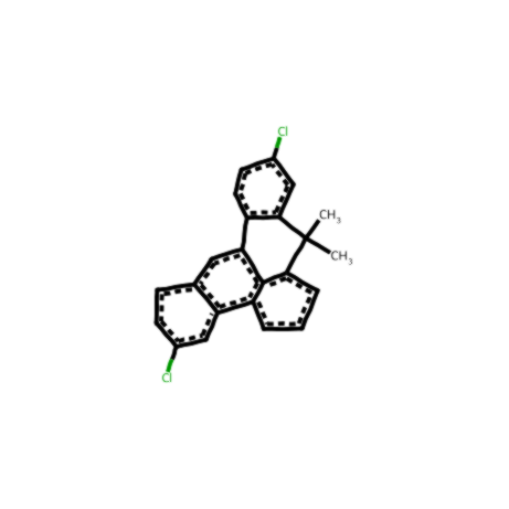 CC1(C)c2cc(Cl)ccc2-c2cc3ccc(Cl)cc3c3cccc1c23